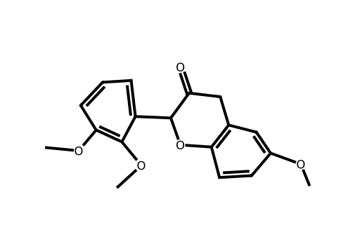 COc1ccc2c(c1)CC(=O)C(c1cccc(OC)c1OC)O2